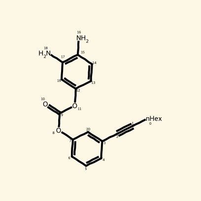 CCCCCCC#Cc1cccc(OC(=O)Oc2ccc(N)c(N)c2)c1